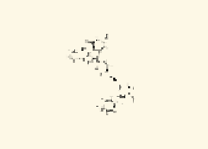 C/C=C(\C=C/C(C)C#Cc1ccc(C(F)(F)C(O)(Cn2cnnn2)c2ccc(F)cc2F)nc1)NCc1ccc(F)cc1